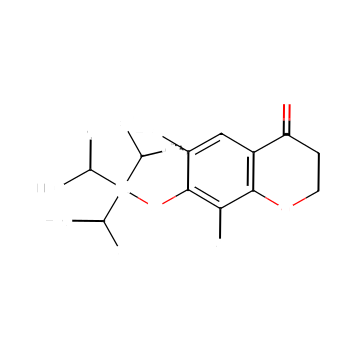 Cc1cc2c(c(C)c1O[Si](C(C)C)(C(C)C)C(C)C)OCCC2=O